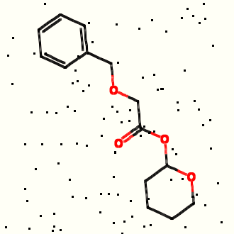 O=C(COCc1ccccc1)OC1CCCCO1